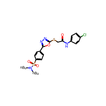 CCCCN(CCCC)S(=O)(=O)c1ccc(-c2nnc(SCC(=O)Nc3ccc(Cl)cc3)o2)cc1